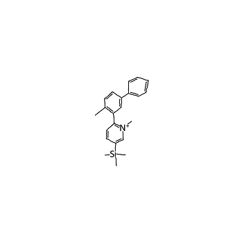 Cc1ccc(-c2ccccc2)cc1-c1ccc([Si](C)(C)C)c[n+]1C